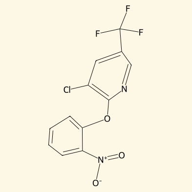 O=[N+]([O-])c1ccccc1Oc1ncc(C(F)(F)F)cc1Cl